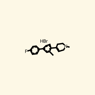 Br.Cc1cc(-c2ccc(F)cc2)ccc1C1=CCN(C)CC1